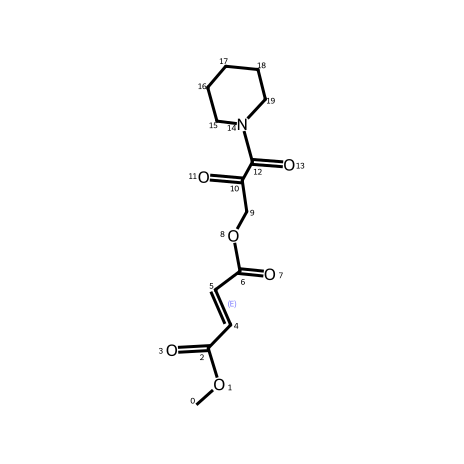 COC(=O)/C=C/C(=O)OCC(=O)C(=O)N1CCCCC1